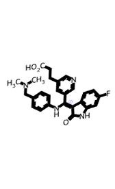 CN(C)Cc1ccc(N/C(=C2\C(=O)Nc3cc(F)ccc32)c2cncc(CCC(=O)O)c2)cc1